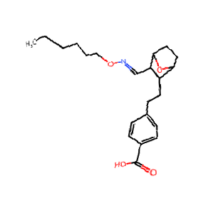 CCCCCCON=CC1C2CCC(O2)C1CCc1ccc(C(=O)O)cc1